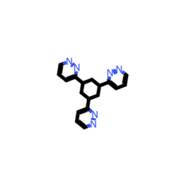 c1cnnc(C2CC(c3cccnn3)CC(c3cccnn3)C2)c1